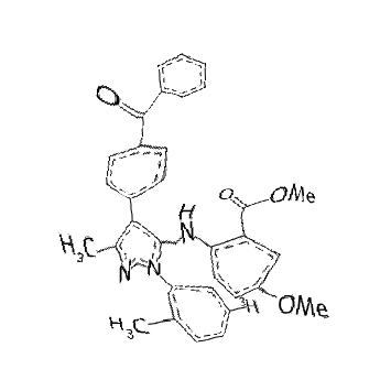 [3H]c1ccc(C)c(-n2nc(C)c(-c3ccc(C(=O)c4ccccc4)cc3)c2Nc2ccc(OC)cc2C(=O)OC)c1